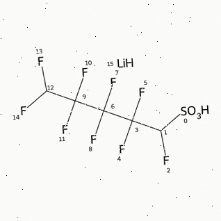 O=S(=O)(O)C(F)C(F)(F)C(F)(F)C(F)(F)C(F)F.[LiH]